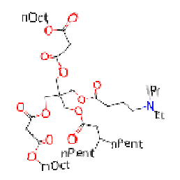 CCCCCCCCOC(=O)CC(=O)OCC(COC(=O)CCCN(CC)C(C)C)(COC(=O)CC(=O)OCCCCCCCC)COC(=O)CC(CCCCC)CCCCC